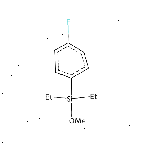 CC[Si](CC)(OC)c1ccc(F)cc1